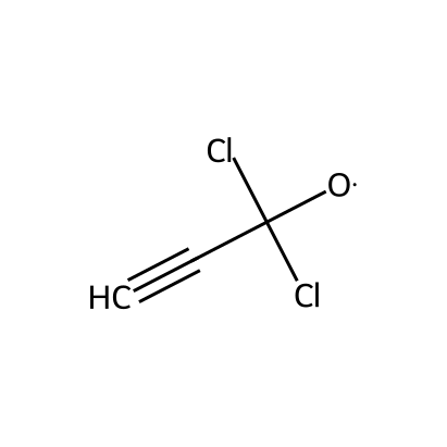 C#CC([O])(Cl)Cl